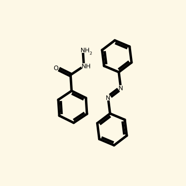 NNC(=O)c1ccccc1.c1ccc(N=Nc2ccccc2)cc1